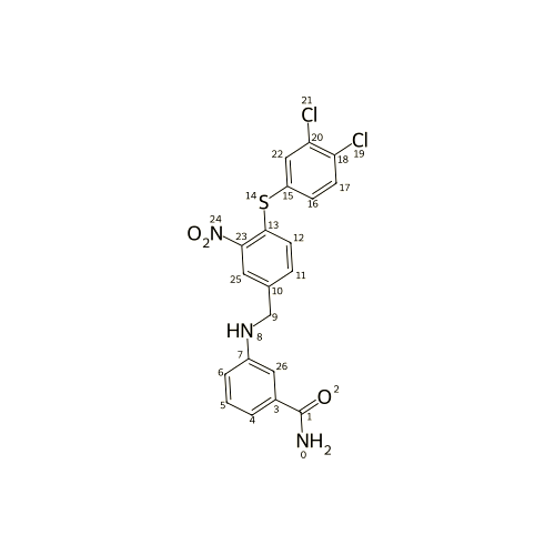 NC(=O)c1cccc(NCc2ccc(Sc3ccc(Cl)c(Cl)c3)c([N+](=O)[O-])c2)c1